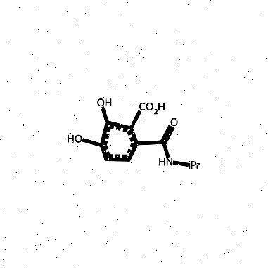 CC(C)NC(=O)c1ccc(O)c(O)c1C(=O)O